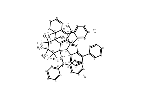 CCCC1=Cc2c(-c3ccccc3)cccc2C1[C]1([Zr+2][SiH](c2ccccc2)c2ccccc2)C2=C3Cc4ccccc4C3=C3C=CCCC3(C)C2(C)C(C)(C)C(C)(C)C1(C)C.[Cl-].[Cl-]